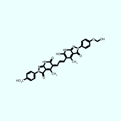 Cc1c(C=C/C=c2/c(C)c3c([nH]c2=O)=NN(c2ccc(C(=O)O)cc2)C3=O)c(O)[nH]c2nn(-c3ccc(OCO)cc3)c(=O)c1-2